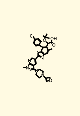 Cc1cc2nc(-c3cnc4c(c3)c(N3CCN(C5COC5)CC3)nn4C)sc2c(-c2ccc(Cl)cc2)c1C(OC(C)(C)C)C(=O)O